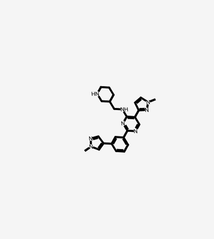 Cn1cc(-c2cccc(-c3ncc(-c4ccn(C)n4)c(NCC4CCCNC4)n3)c2)cn1